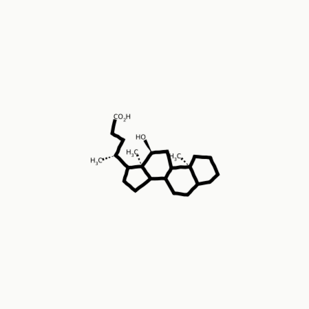 C[C@H](CCC(=O)O)C1CCC2C3CCC4CCCC[C@]4(C)C3C[C@H](O)[C@@]21C